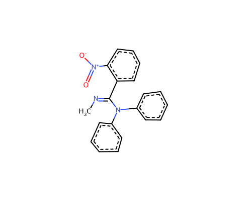 CN=C(c1ccccc1[N+](=O)[O-])N(c1ccccc1)c1ccccc1